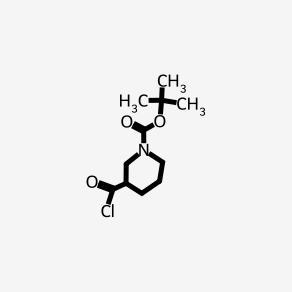 CC(C)(C)OC(=O)N1CCCC(C(=O)Cl)C1